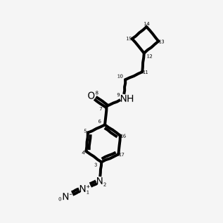 [N-]=[N+]=Nc1ccc(C(=O)NCCC2CCC2)cc1